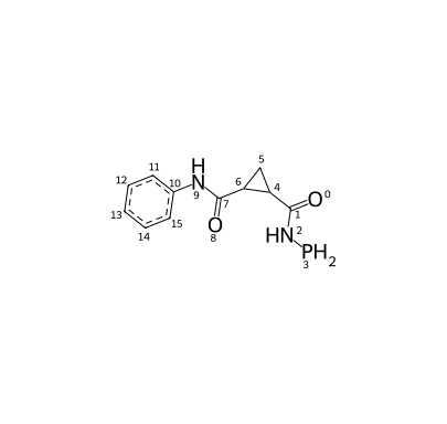 O=C(NP)C1CC1C(=O)Nc1ccccc1